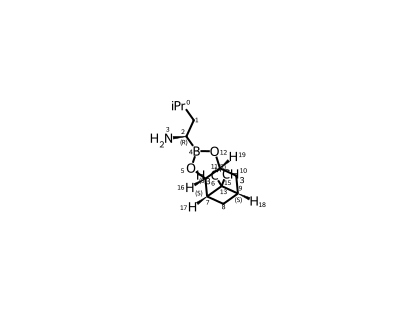 CC(C)C[C@H](N)B1O[C@H]2[C@H]3C[C@@H](C[C@H]2O1)C3(C)C